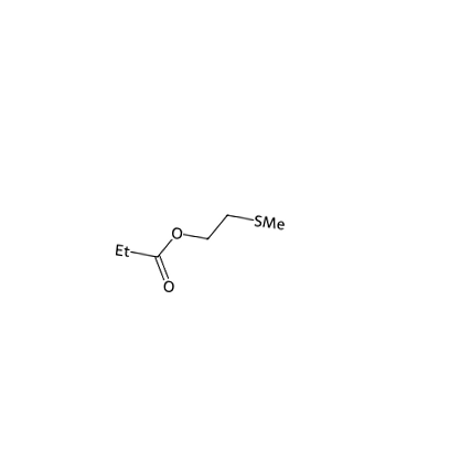 CCC(=O)OCCSC